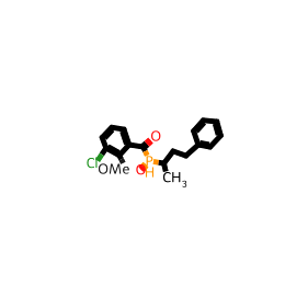 COc1c(Cl)cccc1C(=O)[PH](=O)C(C)CCc1ccccc1